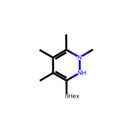 CCCCCCC1=C(C)C(C)=C(C)N(C)N1